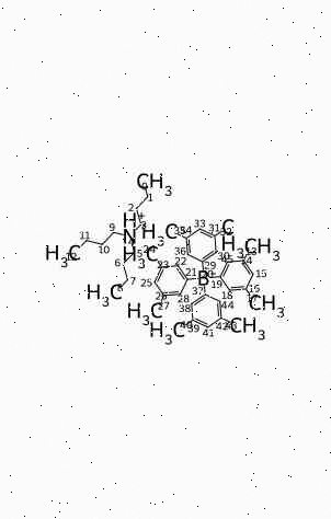 CCCC[NH+](CCCC)CCCC.Cc1cc(C)cc([B-](c2cc(C)cc(C)c2)(c2cc(C)cc(C)c2)c2cc(C)cc(C)c2)c1